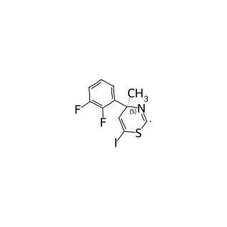 C[C@@]1(c2cccc(F)c2F)C=C(I)S[C]=N1